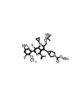 C=C(C)c1nc(-c2cc(N)cc(F)c2OC(F)(F)F)c(F)c2c1c(C1C3CN(C(=O)OC(C)(C)C)CC31)c(CO[Si](C)(C)C(C)(C)C)n2C1CC1